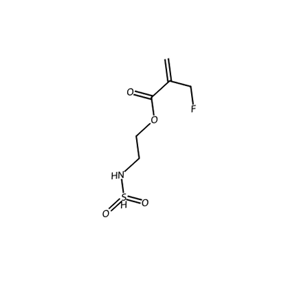 C=C(CF)C(=O)OCCN[SH](=O)=O